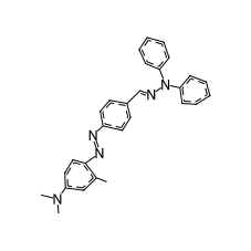 Cc1cc(N(C)C)ccc1N=Nc1ccc(C=NN(c2ccccc2)c2ccccc2)cc1